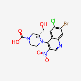 O=C(O)N1CCN(c2c([N+](=O)[O-])cnc3cc(Br)c(Cl)cc23)[C@@H](CO)C1